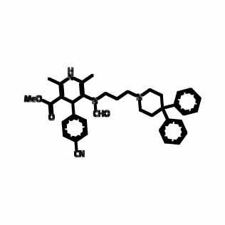 COC(=O)C1=C(C)NC(C)=C(N(C=O)CCCN2CCC(c3ccccc3)(c3ccccc3)CC2)C1c1ccc(C#N)cc1